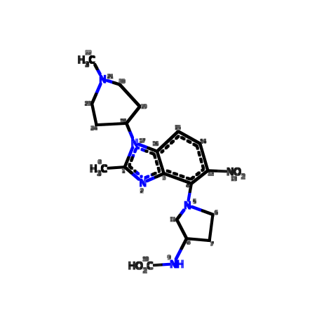 Cc1nc2c(N3CCC(NC(=O)O)C3)c([N+](=O)[O-])ccc2n1C1CCN(C)CC1